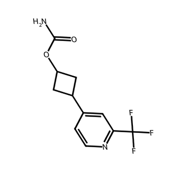 NC(=O)OC1CC(c2ccnc(C(F)(F)F)c2)C1